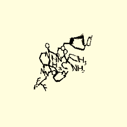 CC(C)(N)C(=O)N[C@H](COCc1ccc(Cl)cc1)C(=O)N1CCC2=NN(CC(F)(F)F)C(=O)C2(Cc2ccccn2)C1